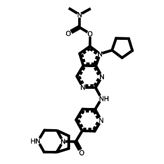 CN(C)C(=O)Oc1cc2cnc(Nc3ccc(C(=O)N4C5CCC4CNC5)cn3)nc2n1C1CCCC1